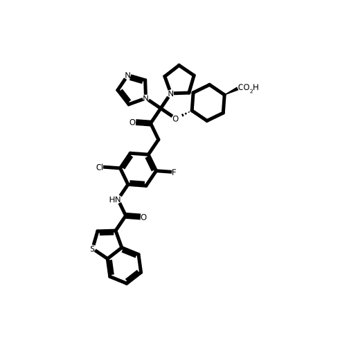 O=C(Nc1cc(F)c(CC(=O)C(O[C@H]2CC[C@H](C(=O)O)CC2)(N2CCCC2)n2ccnc2)cc1Cl)c1csc2ccccc12